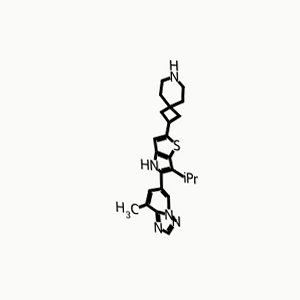 Cc1cc(-c2[nH]c3cc(C4CC5(CCNCC5)C4)sc3c2C(C)C)cn2ncnc12